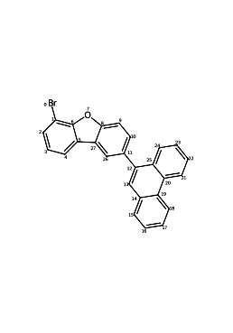 Brc1cccc2c1oc1ccc(-c3cc4ccccc4c4ccccc34)cc12